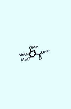 CCCOC(=O)c1cc(OC)c(OC)c(OC)c1